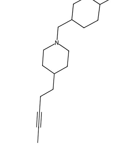 CC#CCCC1CCN(CC2CCC(C)CC2)CC1